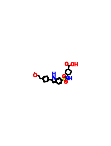 COCCc1ccc(-c2cc3ccc(S(=O)(=O)NC4CCC(C(=O)O)CC4)cc3[nH]2)cc1